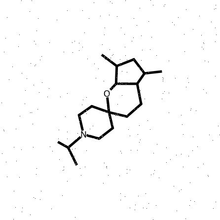 CC1CC(C)C2OC3(CCC12)CCN(C(C)C)CC3